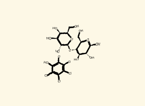 OC[C@H]1O[C@@H](O[C@H]2[C@H](O)[C@@H](O)[C@H](O)O[C@@H]2CO)[C@H](O)[C@@H](O)[C@H]1O.Oc1c(Cl)c(Cl)c(Cl)c(Cl)c1Cl